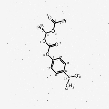 CC(C)C(=O)O[C@@H](OC(=O)Oc1ccc([S+](C)[O-])cc1)C(C)C